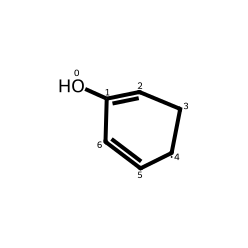 OC1=CC[CH]C=C1